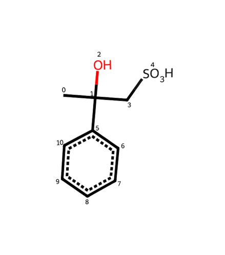 CC(O)(CS(=O)(=O)O)c1ccccc1